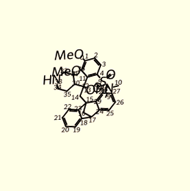 COc1ccc(S(=O)(=O)N(C)C)c(C(O)(CC23CC(c4ccccc42)c2ccccc23)C2CCNCC2)c1OC